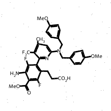 COC(=O)c1c(N)c(F)c(-c2nc(N(Cc3ccc(OC)cc3)Cc3ccc(OC)cc3)cc(C)c2C(F)(F)F)c(CCC(=O)O)c1F